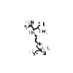 CC(C)C(N)C(NCCNCC(C)(C)S)C(C)S